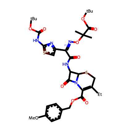 CCC1=C(C(=O)OCc2ccc(OC)cc2)N2C(=O)C(NC(=O)/C(=N\OC(C)(C)C(=O)OC(C)(C)C)c3csc(NC(=O)OC(C)(C)C)n3)C2SC1